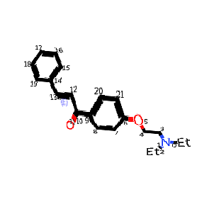 CCN(CC)CCOc1ccc(C(=O)/C=C/c2ccccc2)cc1